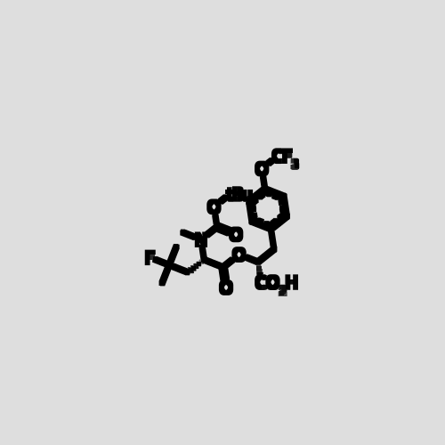 CN(C(=O)OC(C)(C)C)[C@@H](CC(C)(C)F)C(=O)O[C@H](Cc1ccc(OC(F)(F)F)cc1)C(=O)O